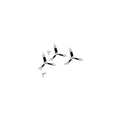 O=[Se]([O-])[O-].O=[Se]([O-])[O-].O=[Se]([O-])[O-].[Li+].[V+5]